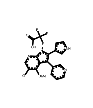 COc1c(Cl)cnc2[nH]c(-c3cc[nH]c3)c(-c3cccnc3)c12.O=C(O)C(F)(F)F